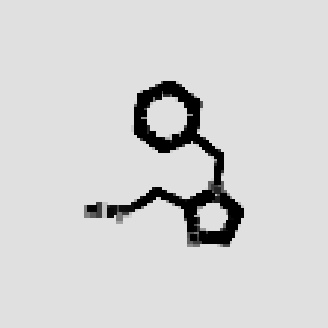 CCCCCCCCc1nccn1Cc1ccccc1